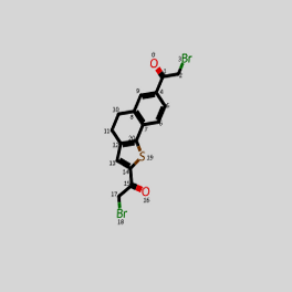 O=C(CBr)c1ccc2c(c1)CCc1cc(C(=O)CBr)sc1-2